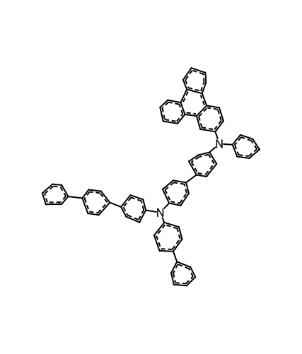 c1ccc(-c2ccc(-c3ccc(N(c4ccc(-c5ccccc5)cc4)c4ccc(-c5ccc(N(c6ccccc6)c6ccc7c8ccccc8c8ccccc8c7c6)cc5)cc4)cc3)cc2)cc1